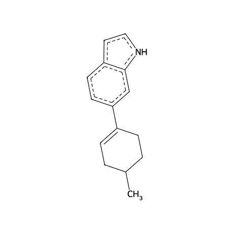 CC1CC=C(c2ccc3cc[nH]c3c2)CC1